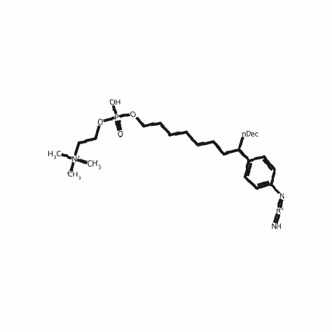 CCCCCCCCCCC(CCCCCCCOP(=O)(O)OCC[N+](C)(C)C)c1ccc(N=[N+]=N)cc1